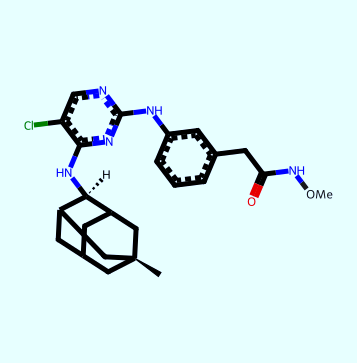 CONC(=O)Cc1cccc(Nc2ncc(Cl)c(N[C@H]3C4CC5CC3C[C@@](C)(C5)C4)n2)c1